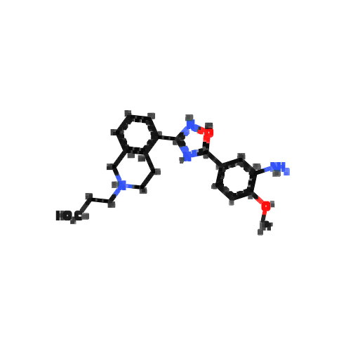 CC(C)Oc1ccc(-c2nc(-c3cccc4c3CCN(CCC(=O)O)C4)no2)cc1N